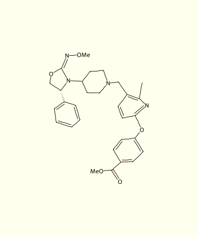 CON=C1OC[C@@H](c2ccccc2)N1C1CCN(Cc2ccc(Oc3ccc(C(=O)OC)cc3)nc2C)CC1